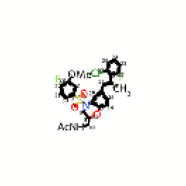 COc1cc(S(=O)(=O)N2C[C@H](CNC(C)=O)Oc3ccc(C=C(C)c4c(F)cccc4Cl)cc32)ccc1F